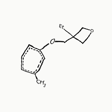 CCC1(COc2cccc(C)c2)COC1